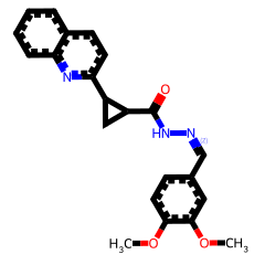 COc1ccc(/C=N\NC(=O)C2CC2c2ccc3ccccc3n2)cc1OC